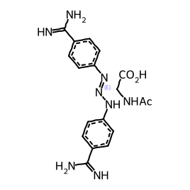 CC(=O)NCC(=O)O.N=C(N)c1ccc(/N=N/Nc2ccc(C(=N)N)cc2)cc1